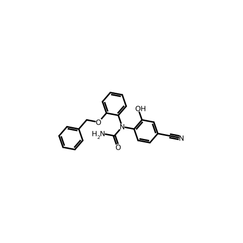 N#Cc1ccc(N(C(N)=O)c2ccccc2OCc2ccccc2)c(O)c1